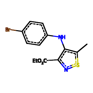 CCOC(=O)c1nsc(C)c1Nc1ccc(Br)cc1